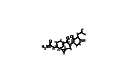 CC(C)CC1NCCN(C(CC2CC2)C(=O)N2CCC(CC(N)=O)CC2)C1=O